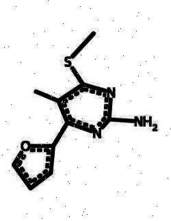 CSc1nc(N)nc(-c2ccco2)c1C